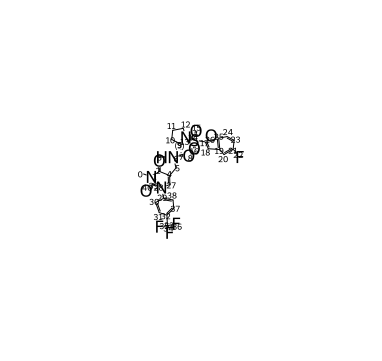 Cn1c(=O)c(CNC(=O)[C@@H]2CCCN2S(=O)(=O)c2cc3cc(F)ccc3o2)cn(-c2ccc(C(F)(F)F)cc2)c1=O